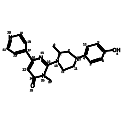 CC1CN(c2ccc(O)cc2)CCN1c1nc(-c2ccncc2)cc(=O)n1C